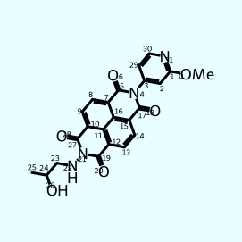 COc1cc(N2C(=O)c3ccc4c5c(ccc(c35)C2=O)C(=O)N(NCC(C)O)C4=O)ccn1